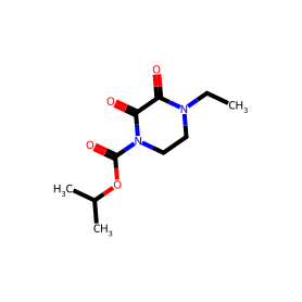 CCN1CCN(C(=O)OC(C)C)C(=O)C1=O